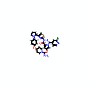 NC(=O)N1CCC(Oc2ccc(N3CCCC3c3csc(NC(=O)c4cccn4Cc4ccnc(F)c4)n3)cc2)CC1